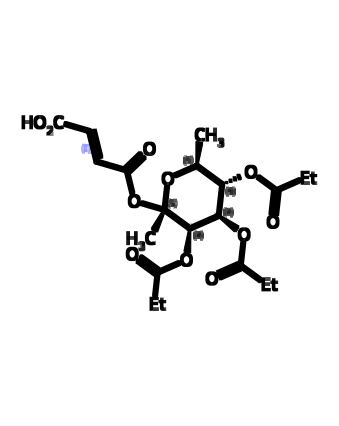 CCC(=O)O[C@@H]1[C@@H](OC(=O)CC)[C@@H](OC(=O)CC)[C@](C)(OC(=O)/C=C/C(=O)O)O[C@H]1C